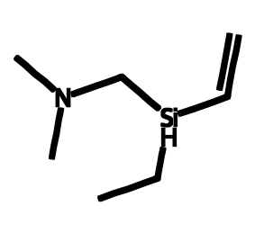 C=C[SiH](CC)CN(C)C